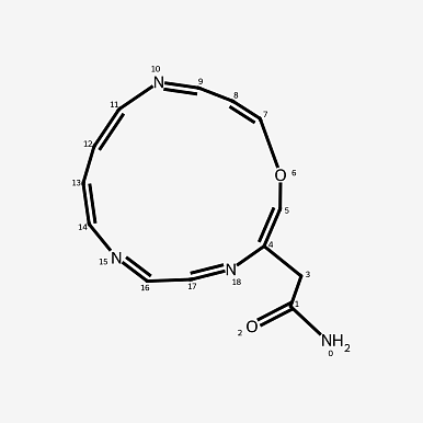 NC(=O)CC1=COC=CC=NC=CC=CN=CC=N1